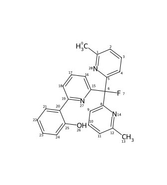 Cc1cccc(C(F)(c2cccc(C)n2)c2cccc(-c3ccccc3O)n2)n1